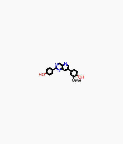 COc1cc(-c2cnc3cnc(-c4ccc(O)cc4)nc3c2)ccc1O